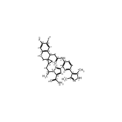 Cc1n[nH]c(C)c1-c1ccc(NC(=O)CC2c3cc(F)c(F)cc3OCC23CC3CC(C)n2nccc2C(N)=O)cn1